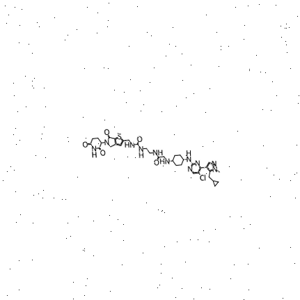 Cn1ncc(-c2nc(NC3CCC(NCC(=O)NCCNC(=O)NCc4cc5c(s4)C(=O)N(C4CCC(=O)NC4=O)C5)CC3)ncc2Cl)c1CC1CC1